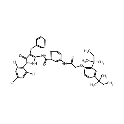 CCC(C)(C)c1ccc(OCC(=O)Nc2cccc(C(=O)Nc3[nH]n(-c4c(Cl)cc(Cl)cc4Cl)c(=O)c3Sc3ccccc3)c2)c(C(C)(C)CC)c1